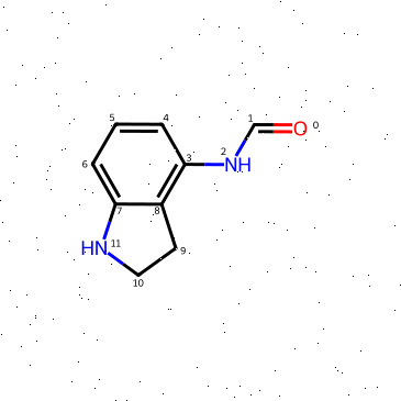 O=CNc1cccc2c1CCN2